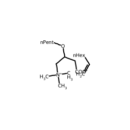 C=CCCCCCC.CCCCCOC(CC(=O)[O-])C[N+](C)(C)C